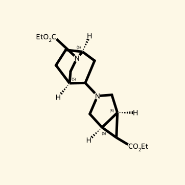 CCOC(=O)C1[C@H]2CN(C3C[C@@H]4CC[C@H]3CN4C(=O)OCC)C[C@@H]12